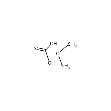 OC(O)=S.[SiH3]O[SiH3]